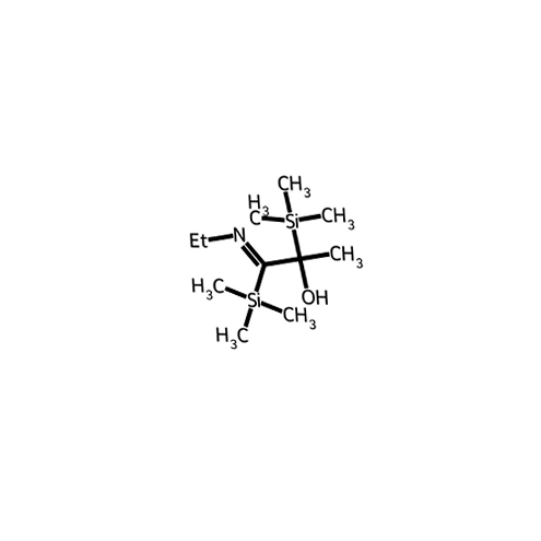 CCN=C(C(C)(O)[Si](C)(C)C)[Si](C)(C)C